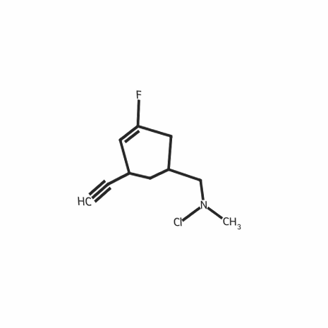 C#CC1C=C(F)CC(CN(C)Cl)C1